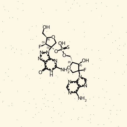 Nc1nc2c(nnn2[C@]2(OP(O)(=S)OC[C@H]3OCC(F)(n4cnc5c(N)ncnc54)[C@@H]3O)CO[C@H](CO)[C@@H]2F)c(=O)[nH]1